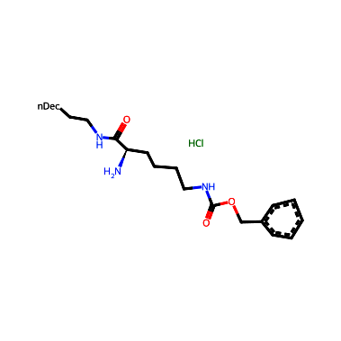 CCCCCCCCCCCCNC(=O)[C@H](N)CCCCNC(=O)OCc1ccccc1.Cl